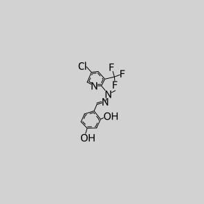 CN(/N=C/c1ccc(O)cc1O)c1ncc(Cl)cc1C(F)(F)F